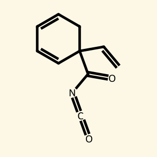 C=CC1(C(=O)N=C=O)C=CC=CC1